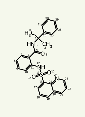 CC(C)(NC(=O)c1ccccc1NS(=O)(=O)c1cccc2cccnc12)c1ccccc1